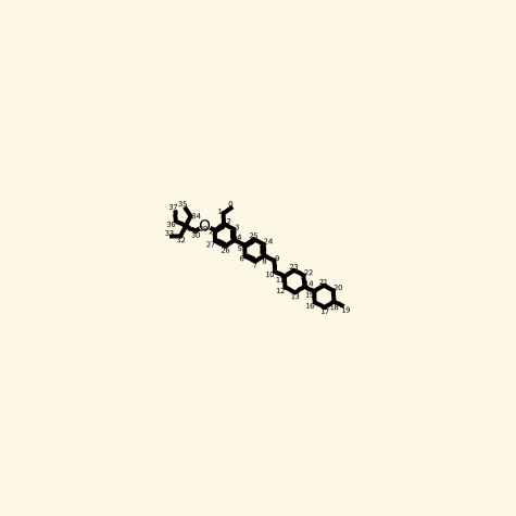 CCc1cc(-c2ccc(CCC3CCC(C4CCC(C)CC4)CC3)cc2)ccc1OCC(CC)(CC)CC